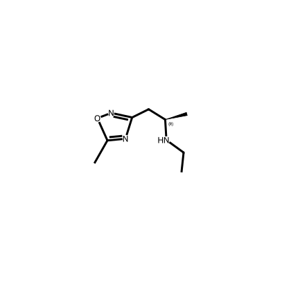 CCN[C@H](C)Cc1noc(C)n1